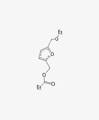 CCOCc1ccc(COC(=O)CC)o1